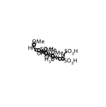 COc1ccc(Nc2ccc3c(O)c(N=Nc4cc(C)c(N=Nc5cc(C)c(N=Nc6ccc7cc(S(=O)(=O)O)cc(OCCCS(=O)(=O)O)c7c6)cc5OC)cc4OC)c(S(=O)(=O)O)cc3c2)cc1